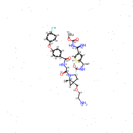 C[C@@H](NC(=O)[C@@H]1C[C@]2(COCCN)C[C@@H]2N1C(=O)CNC(=O)c1ccc(Oc2ccc(F)cc2)cc1)c1cc(C(=N)NC(=O)OC(C)(C)C)cs1